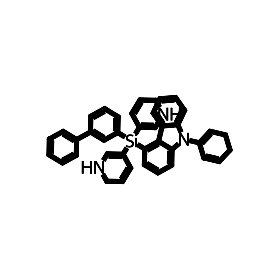 C1=CC(n2c3ccccc3c3c([Si](C4=CNCC=C4)(C4=CNCC=C4)c4cccc(-c5ccccc5)c4)cccc32)=CCC1